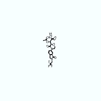 CC(=O)O[C@@H](C(=O)O)[C@H]1OCCN(c2ccc3c(c2)C(=O)N(CC(F)(F)F)C3)C1=O